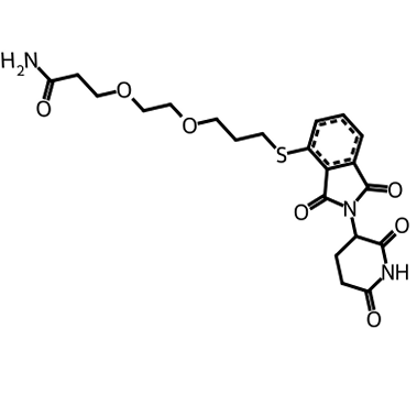 NC(=O)CCOCCOCCCSc1cccc2c1C(=O)N(C1CCC(=O)NC1=O)C2=O